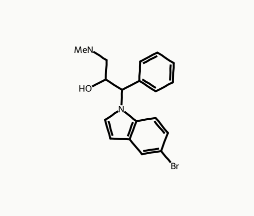 CNCC(O)C(c1ccccc1)n1ccc2cc(Br)ccc21